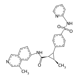 Cc1cncc2ccc(NC(=O)[C@H]3C(c4ccc(S(=O)(=O)Nc5ccccn5)cc4)[C@H]3C)cc12